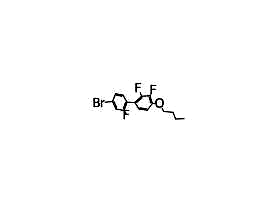 CCCCOc1ccc(-c2ccc(Br)cc2F)c(F)c1F